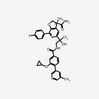 Cc1cncc(-c2ccc(C(=O)NCC(O)(c3cc4c(c(-c5ccc(F)cc5)n3)OC[C@]4(C)C(N)=O)C(F)(F)F)cc2OC2CC2)c1